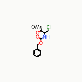 COC(=O)C(CCl)NC(=O)OCc1ccccc1